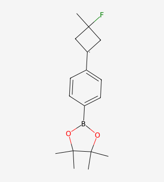 CC1(F)C[C](c2ccc(B3OC(C)(C)C(C)(C)O3)cc2)C1